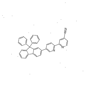 N#Cc1ccnc(-c2ccc(-c3ccc4c(c3)C(c3ccccc3)(c3ccccc3)c3ccccc3-4)cn2)c1